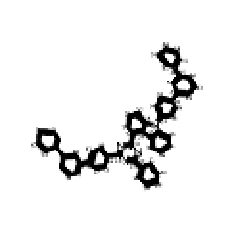 c1ccc(-c2cccc(-c3ccc(-c4nc(-c5ccccc5)nc(-c5cccc6c5c5ccccc5n6-c5ccc(-c6cccc(-c7ccccc7)c6)cc5)n4)cc3)c2)cc1